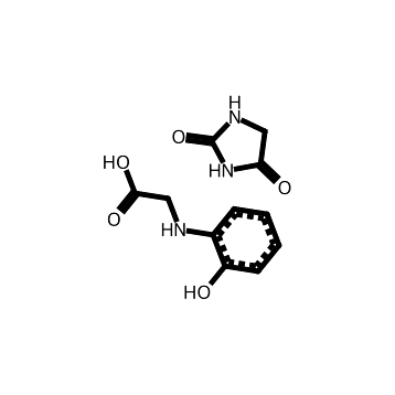 O=C(O)CNc1ccccc1O.O=C1CNC(=O)N1